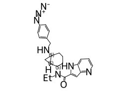 CCN(C(=O)c1cc2ncccc2[nH]1)[C@H]1CCC[C@]2(NCc3ccc(N=[N+]=[N-])cc3)C[C@@H]12